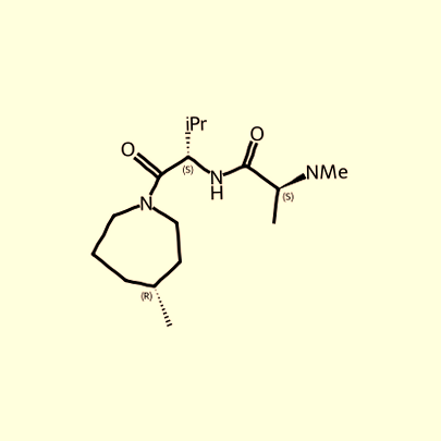 CN[C@@H](C)C(=O)N[C@H](C(=O)N1CCC[C@@H](C)CC1)C(C)C